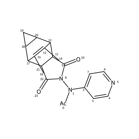 CC(=O)N(c1ccncc1)N1C(=O)C2C3C(C)=C(C)C(C4CC43)C2C1=O